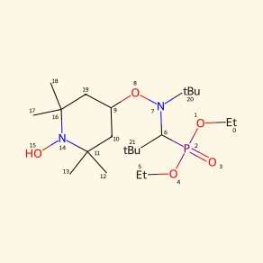 CCOP(=O)(OCC)C(N(OC1CC(C)(C)N(O)C(C)(C)C1)C(C)(C)C)C(C)(C)C